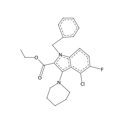 CCOC(=O)c1c(N2CCCCC2)c2c(Cl)c(F)ccc2n1Cc1ccccc1